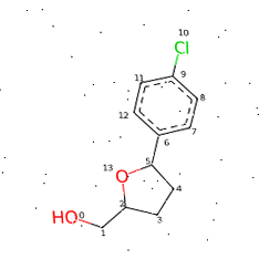 OCC1CCC(c2ccc(Cl)cc2)O1